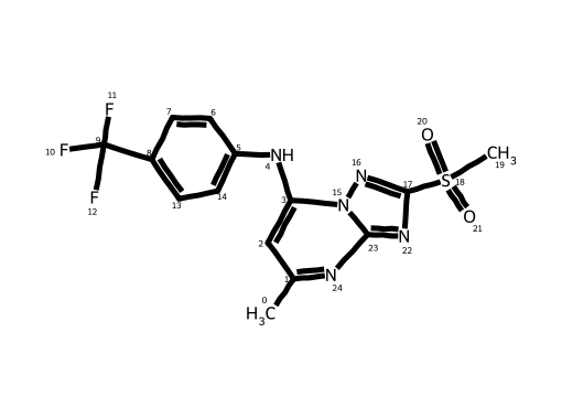 Cc1cc(Nc2ccc(C(F)(F)F)cc2)n2nc(S(C)(=O)=O)nc2n1